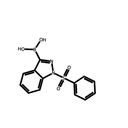 O=S(=O)(c1ccccc1)n1nc(B(O)O)c2ccccc21